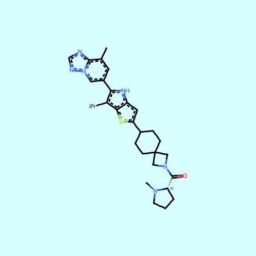 Cc1cc(-c2[nH]c3cc(C4CCC5(CC4)CN(C(=O)[C@@H]4CCCN4C)C5)sc3c2C(C)C)cn2ncnc12